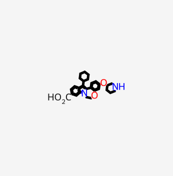 O=C(O)c1ccc2c(C3CCCCC3)c3n(c2c1)CCOc1cc(OC2CCCNC2)ccc1-3